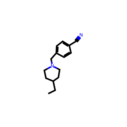 CCC1CCN(Cc2ccc(C#N)cc2)CC1